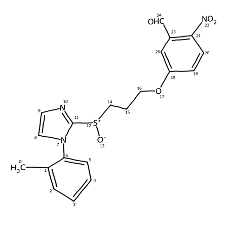 Cc1ccccc1-n1ccnc1[S+]([O-])CCCOc1ccc([N+](=O)[O-])c(C=O)c1